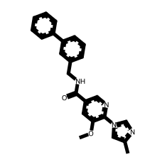 COc1cc(C(=O)NCc2cccc(-c3ccccc3)c2)cnc1-n1cnc(C)c1